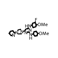 COc1ccc(Nc2nc(Nc3ccc(OC)c(F)c3)cc(N3CCN(c4ccccn4)CC3)n2)cc1